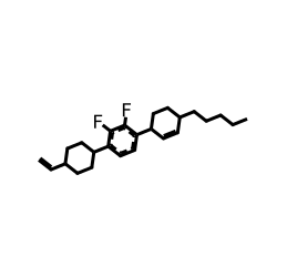 C=CC1CCC(c2ccc(C3C=CC(CCCCC)CC3)c(F)c2F)CC1